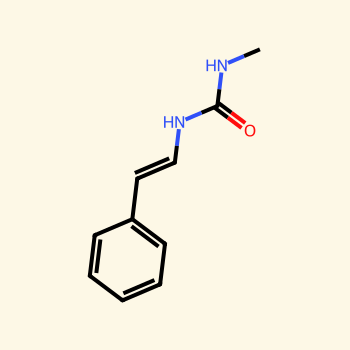 CNC(=O)NC=Cc1ccccc1